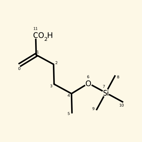 C=C(CCC(C)O[Si](C)(C)C)C(=O)O